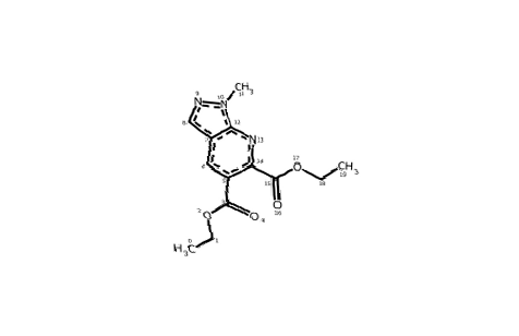 CCOC(=O)c1cc2cnn(C)c2nc1C(=O)OCC